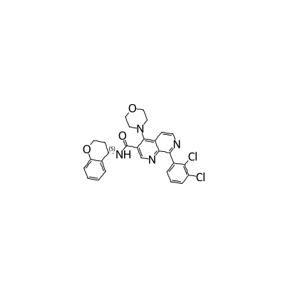 O=C(N[C@H]1CCOc2ccccc21)c1cnc2c(-c3cccc(Cl)c3Cl)nccc2c1N1CCOCC1